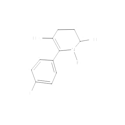 CCN1C(c2ccc(F)cc2)=C(C)CCC1O